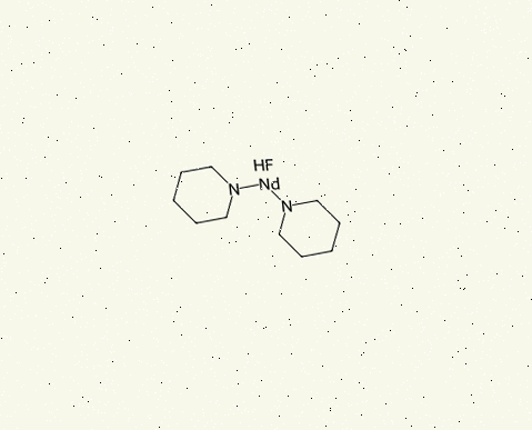 C1CC[N]([Nd][N]2CCCCC2)CC1.F